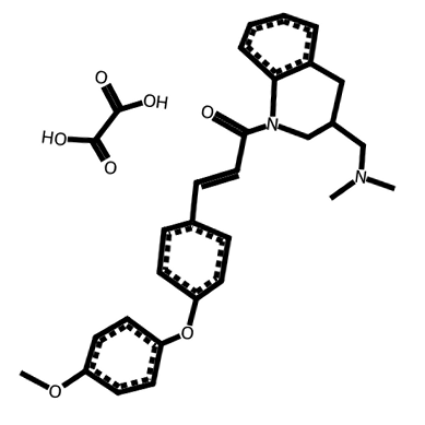 COc1ccc(Oc2ccc(C=CC(=O)N3CC(CN(C)C)Cc4ccccc43)cc2)cc1.O=C(O)C(=O)O